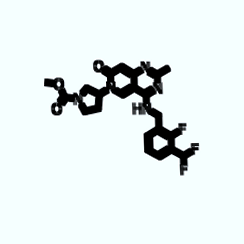 COC(=O)N1CCC(n2cc3c(NCc4cccc(C(F)F)c4F)nc(C)nc3cc2=O)C1